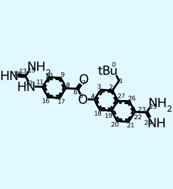 CC(C)(C)Cc1cc(OC(=O)c2ccc(NC(=N)N)cc2)cc2ccc(C(=N)N)cc12